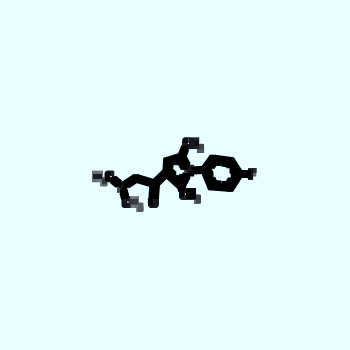 Cc1cc(C(=O)CN(C)C)c(C)n1-c1ccc(F)cc1